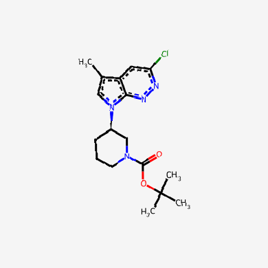 Cc1cn([C@@H]2CCCN(C(=O)OC(C)(C)C)C2)c2nnc(Cl)cc12